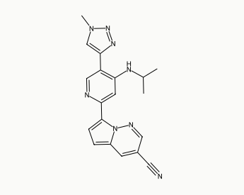 CC(C)Nc1cc(-c2ccc3cc(C#N)cnn23)ncc1-c1cn(C)nn1